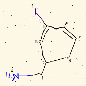 NCC1C=C(I)C=CC1